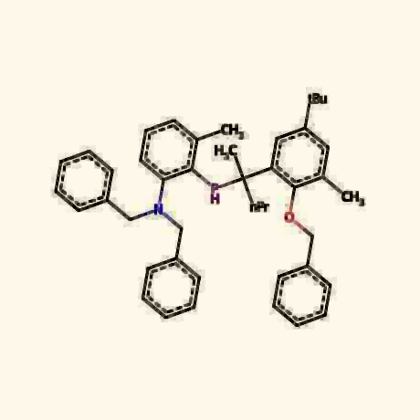 CCCC(C)(Pc1c(C)cccc1N(Cc1ccccc1)Cc1ccccc1)c1cc(C(C)(C)C)cc(C)c1OCc1ccccc1